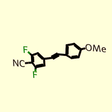 COc1ccc(C#Cc2cc(F)c(C#N)c(F)c2)cc1